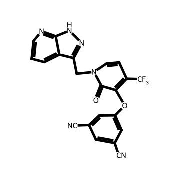 N#Cc1cc(C#N)cc(Oc2c(C(F)(F)F)ccn(Cc3n[nH]c4ncccc34)c2=O)c1